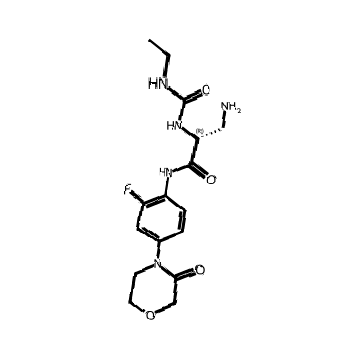 CCNC(=O)N[C@H](CN)C(=O)Nc1ccc(N2CCOCC2=O)cc1F